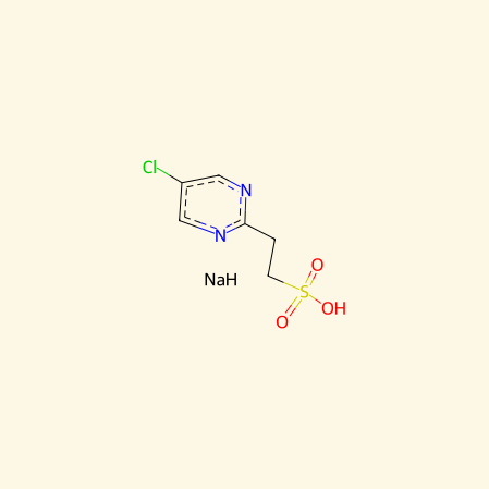 O=S(=O)(O)CCc1ncc(Cl)cn1.[NaH]